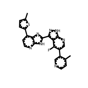 Cc1ccc(-c2ccnc3[nH]c(-c4n[nH]c5ncc(-c6cnccc6C)c(F)c45)nc23)s1